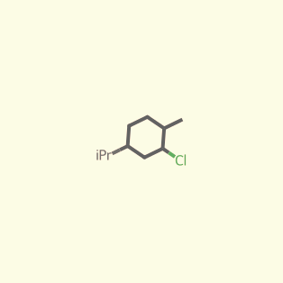 CC(C)C1CCC(C)C(Cl)C1